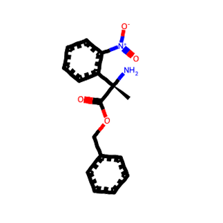 C[C@@](N)(C(=O)OCc1ccccc1)c1ccccc1[N+](=O)[O-]